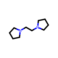 C1CCN(CCN2CCCC2)C1